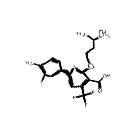 Cc1ccc(-c2cc(C(F)(F)F)c(C(=O)O)c(OCCC(C)C)n2)cc1F